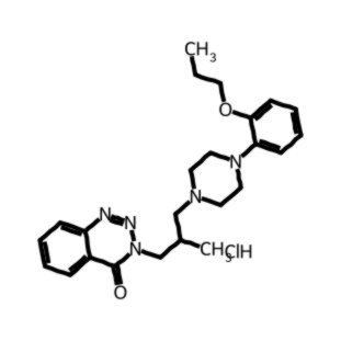 CCCOc1ccccc1N1CCN(CC(C)Cn2nnc3ccccc3c2=O)CC1.Cl